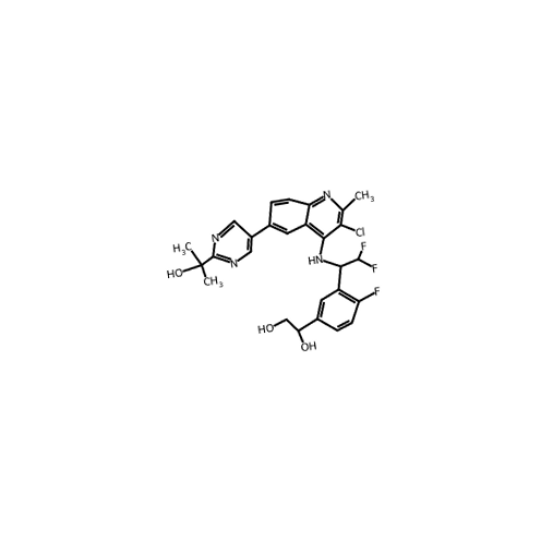 Cc1nc2ccc(-c3cnc(C(C)(C)O)nc3)cc2c(NC(c2cc(C(O)CO)ccc2F)C(F)F)c1Cl